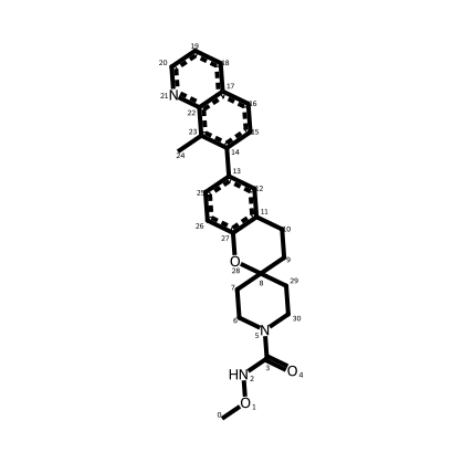 CONC(=O)N1CCC2(CCc3cc(-c4ccc5cccnc5c4C)ccc3O2)CC1